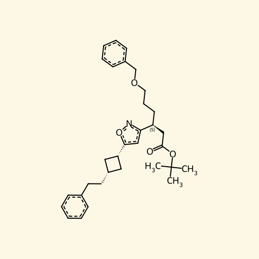 CC(C)(C)OC(=O)C[C@H](CCCOCc1ccccc1)c1cc([C@H]2C[C@@H](CCc3ccccc3)C2)on1